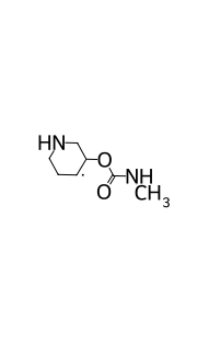 CNC(=O)OC1[CH]CCNC1